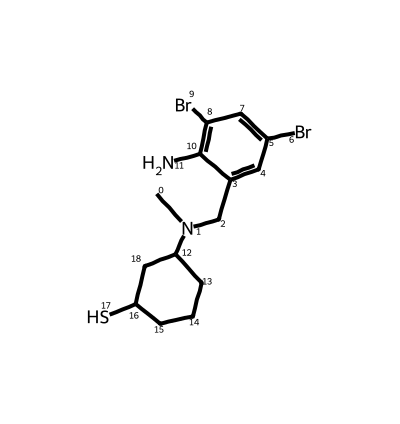 CN(Cc1cc(Br)cc(Br)c1N)C1CCCC(S)C1